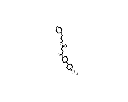 CN1CCC(C2CCN(C(=O)CCC(=O)OCCCN3CCOCC3)CC2)CC1